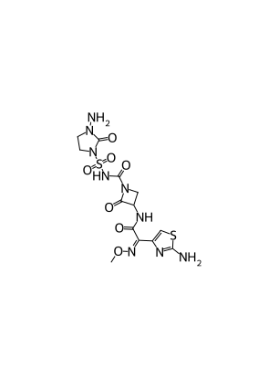 CO/N=C(\C(=O)NC1CN(C(=O)NS(=O)(=O)N2CCN(N)C2=O)C1=O)c1csc(N)n1